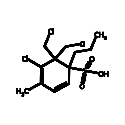 CCCC1(S(=O)(=O)O)C=CC(C)=C(Cl)C1(CCl)CCl